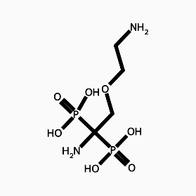 NCCOCC(N)(P(=O)(O)O)P(=O)(O)O